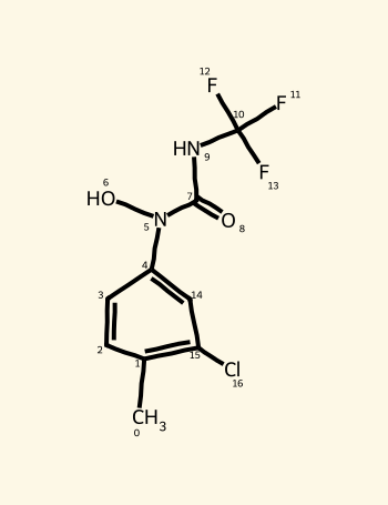 Cc1ccc(N(O)C(=O)NC(F)(F)F)cc1Cl